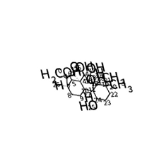 C=C1C(=O)[C@@]23C(O)[C@H]1CC[C@@H]2[C@]12COC3(O)[C@@H](O)[C@H]1C(C)(C)CC[C@@H]2O